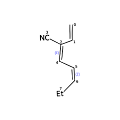 C=C/C(C#N)=C\C=C/CC